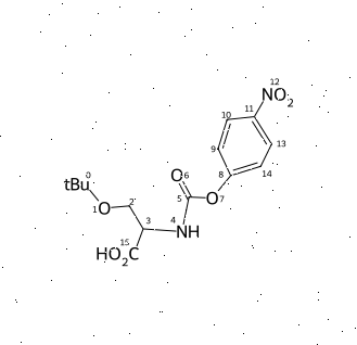 CC(C)(C)OCC(NC(=O)Oc1ccc([N+](=O)[O-])cc1)C(=O)O